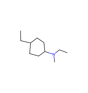 CCC1CCC(N(C)CC)CC1